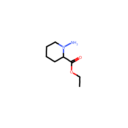 CCOC(=O)C1CCCCN1N